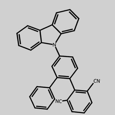 N#Cc1cccc(C#N)c1-c1ccc(-n2c3ccccc3c3ccccc32)cc1-c1ccccc1